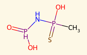 CP(O)(=S)N[PH](=O)O